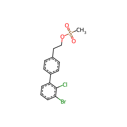 CS(=O)(=O)OCCc1ccc(-c2cccc(Br)c2Cl)cc1